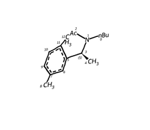 CCCCN(C(C)=O)[C@@H](C)c1cc(C)ccc1C